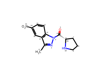 Cc1nn(C(=O)[C@@H]2CCCN2)c2ccc([N+](=O)[O-])cc12